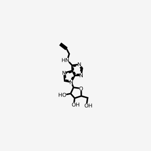 C#CCNc1ncnc2c1ncn2C1OC(CO)C(O)C1O